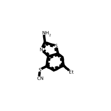 CCc1cc(SC#N)c2nc(N)sc2c1